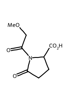 COCC(=O)N1C(=O)CCC1C(=O)O